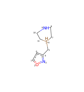 [c]1conc1C[SH]1CCNCC1